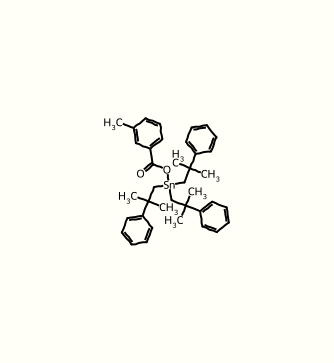 Cc1cccc(C(=O)[O][Sn]([CH2]C(C)(C)c2ccccc2)([CH2]C(C)(C)c2ccccc2)[CH2]C(C)(C)c2ccccc2)c1